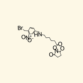 O=C(CCCCCNCc1ccc(CBr)c([N+](=O)[O-])c1)ON1C(=O)CCC1=O